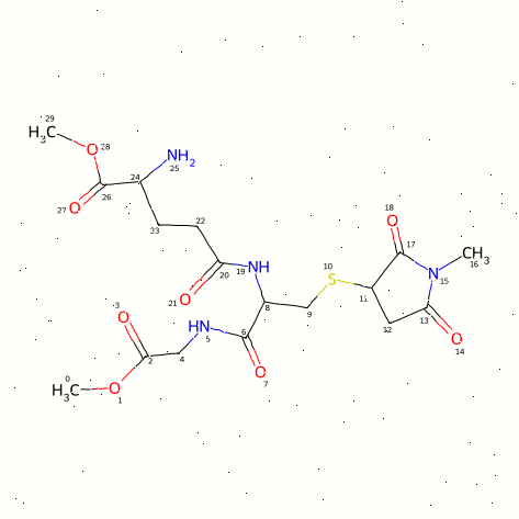 COC(=O)CNC(=O)C(CSC1CC(=O)N(C)C1=O)NC(=O)CCC(N)C(=O)OC